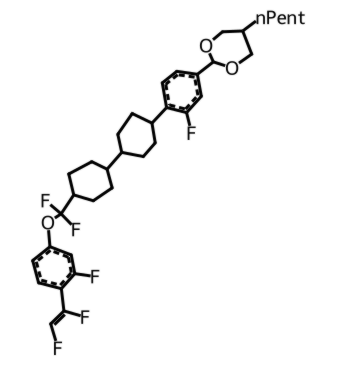 CCCCCC1COC(c2ccc(C3CCC(C4CCC(C(F)(F)Oc5ccc(/C(F)=C/F)c(F)c5)CC4)CC3)c(F)c2)OC1